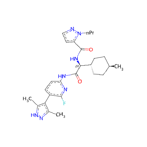 CCCn1nccc1C(=O)N[C@H](C(=O)Nc1ccc(-c2c(C)n[nH]c2C)c(F)n1)[C@H]1CC[C@H](C)CC1